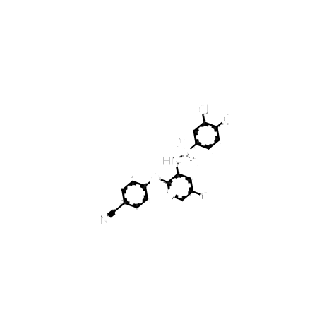 N#Cc1ccc(Oc2ncc(Cl)cc2NS(=O)(=O)c2ccc(Cl)c(Cl)c2)cc1